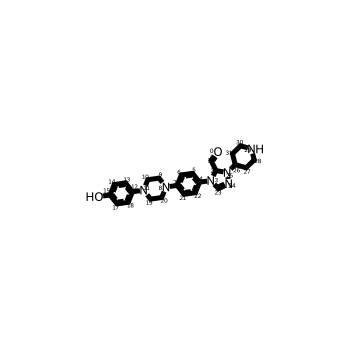 O=CC1N(c2ccc(N3CCN(c4ccc(O)cc4)CC3)cc2)C=NN1C1CCNCC1